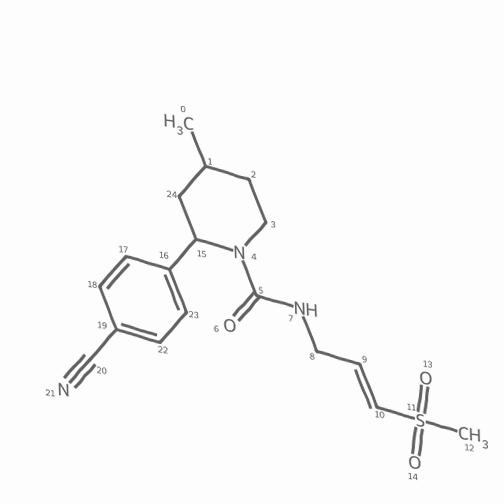 CC1CCN(C(=O)NC/C=C/S(C)(=O)=O)C(c2ccc(C#N)cc2)C1